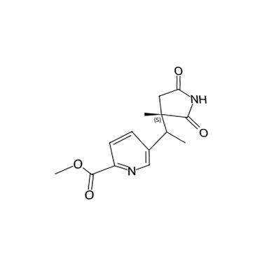 COC(=O)c1ccc(C(C)[C@]2(C)CC(=O)NC2=O)cn1